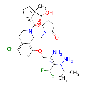 CC(C)N(N)/C(=C(\N)COc1ccc(Cl)c2c1C(CN1CCCC1=O)N(C(=O)[C@@H]1CCC[C@]1(C)C(=O)O)CC2)C(F)F